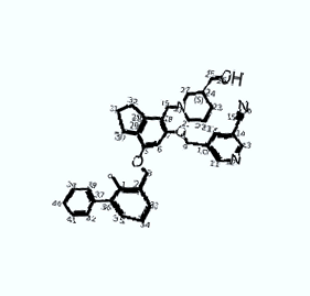 Cc1c(COc2cc(OCc3cncc(C#N)c3)c(CN3CCC[C@H](CO)C3)c3c2CCC3)cccc1-c1ccccc1